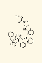 Cc1c(F)c(NS(=O)(=O)Cc2ccccc2)c2ccccc2c1Oc1ncccc1-c1ccnc(N[C@H]2CCCN(C(=O)OC(C)(C)C)C2)n1